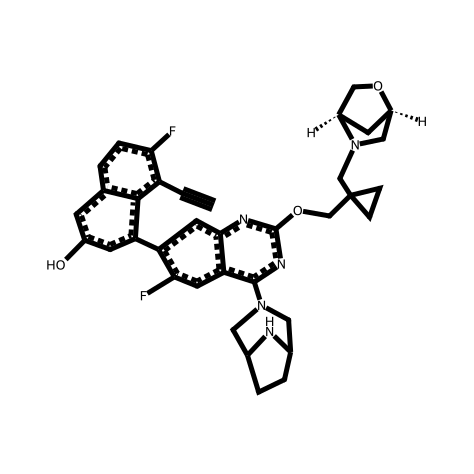 C#Cc1c(F)ccc2cc(O)cc(-c3cc4nc(OCC5(CN6C[C@H]7C[C@@H]6CO7)CC5)nc(N5CC6CCC(C5)N6)c4cc3F)c12